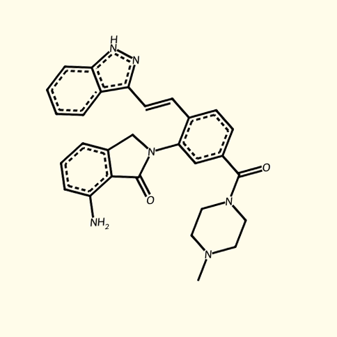 CN1CCN(C(=O)c2ccc(/C=C/c3n[nH]c4ccccc34)c(N3Cc4cccc(N)c4C3=O)c2)CC1